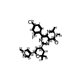 Cc1nc2c(-c3ccc(Cl)cc3F)nc([C@@H]3C[C@H](c4cnn(C)c4)OC(C)(C)C3)nc2c(=O)n1C